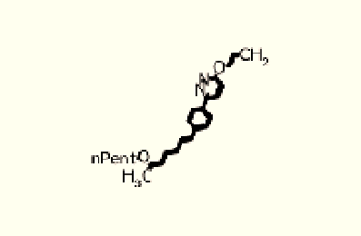 C=CCOc1ccc(-c2ccc(C=CCCCC(C)OCCCCC)cc2)nn1